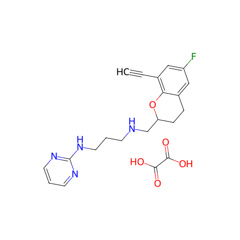 C#Cc1cc(F)cc2c1OC(CNCCCNc1ncccn1)CC2.O=C(O)C(=O)O